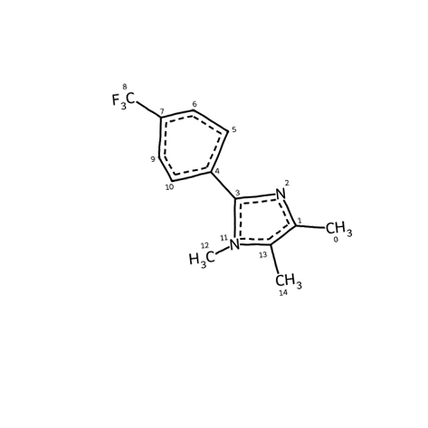 Cc1nc(-c2ccc(C(F)(F)F)cc2)n(C)c1C